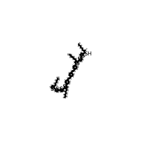 CCCCCC/C(C)=C(/S)c1ccc(-c2ccc(-c3sc(-c4ccc(/C=C/c5ccc(/C=C/c6ccc(-c7cc(CCCCCC)c(-c8ccc(-c9ccc(-c%10sccc%10CCCCCC)s9)s8)s7)cc6)cc5)cc4)cc3CCCCCC)s2)s1